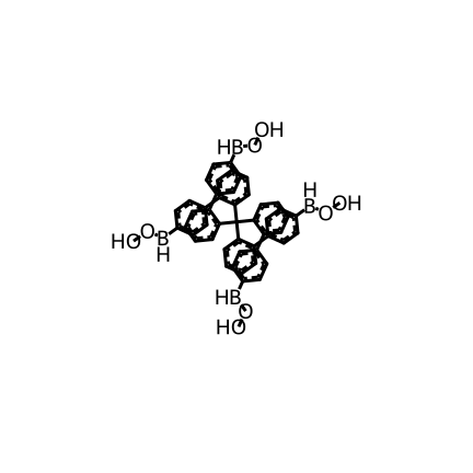 OOBc1ccc(-c2ccccc2C(c2ccccc2-c2ccc(BOO)cc2)(c2ccccc2-c2ccc(BOO)cc2)c2ccccc2-c2ccc(BOO)cc2)cc1